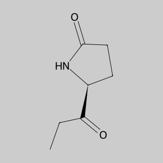 CCC(=O)[C@@H]1CCC(=O)N1